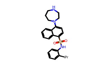 CC(C)c1ccccc1NS(=O)(=O)c1ccc(N2CCCNCC2)c2ccccc12